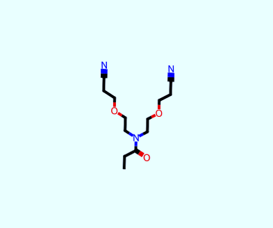 CCC(=O)N(CCOCCC#N)CCOCCC#N